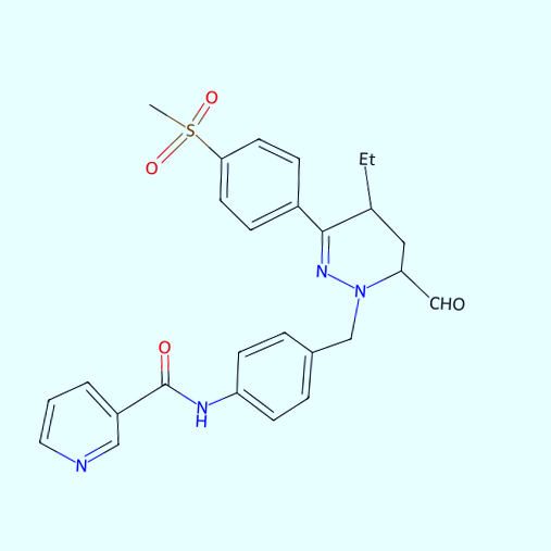 CCC1CC(C=O)N(Cc2ccc(NC(=O)c3cccnc3)cc2)N=C1c1ccc(S(C)(=O)=O)cc1